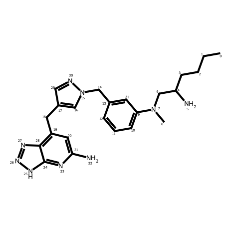 CCCCC(N)CN(C)c1cccc(Cn2cc(Cc3cc(N)nc4[nH]nnc34)cn2)c1